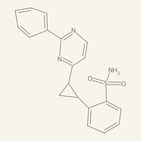 NS(=O)(=O)c1ccccc1C1CC1c1ccnc(-c2ccccc2)n1